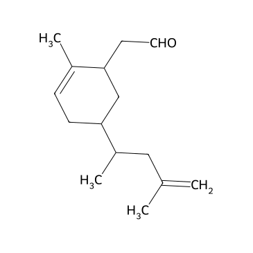 C=C(C)CC(C)C1CC=C(C)C(CC=O)C1